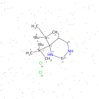 CC(C)(C)[Si](C)(C)C1([Si](C)(C)C(C)(C)C)CC[NH][Ti+2][NH]1.[Cl-].[Cl-]